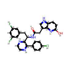 O=C(Cc1c[nH]c2ccc(O)nc12)NC(Cc1cc(F)cc(F)c1)c1nccnc1-c1ccc(Cl)cc1